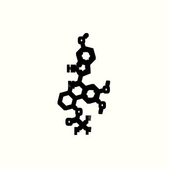 COc1ccc2cc(C3=NC4CCCC(OC(=O)C(F)(F)F)C4c4cc(OC)c(OC)cc43)[nH]c2c1